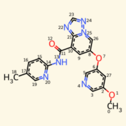 COc1cncc(Oc2cc(C(=O)Nc3ccc(C)cn3)c3ncnn3c2)c1